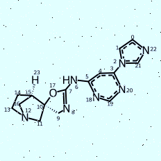 c1cn(-c2cc(NC3=NC[C@@]4(CN5CC[C@@H]4C5)O3)ncn2)cn1